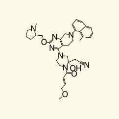 COC/C=C/C(=O)N1CCN(c2nc(OC[C@H]3CCCN3C)nc3c2CCN(c2cccc4cccc(C)c24)C3)C[C@@]1(O)CC#N